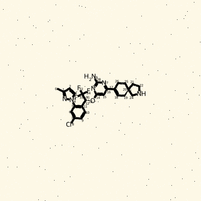 Cc1ccn(-c2cc(Cl)ccc2[C@@H](Oc2cc(C3=CC[C@]4(CCNC4)CC3)nc(N)n2)C(F)(F)F)n1